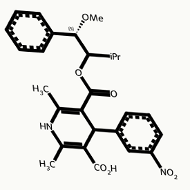 CO[C@@H](c1ccccc1)C(OC(=O)C1=C(C)NC(C)=C(C(=O)O)C1c1cccc([N+](=O)[O-])c1)C(C)C